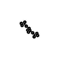 c1ccc(N(c2ccc(-c3cc4ccc(-c5ccc(N(c6ccccc6)c6cccc7ccccc67)cc5)c5ccc6cccc3c6c45)cc2)c2cccc3ccccc23)cc1